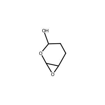 OC1CCC2OC2O1